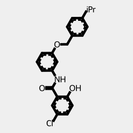 CC(C)c1ccc(COc2cccc(NC(=O)c3cc(Cl)ccc3O)c2)cc1